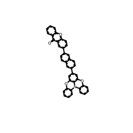 O=c1c2ccccc2oc2ccc(-c3ccc4cc(-c5cc6c7c(c5)Oc5ccccc5N7c5ccccc5O6)ccc4c3)cc12